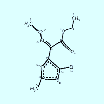 CCOC(=O)/C(=N\OC)c1nc(N)sc1Cl